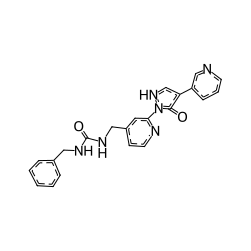 O=C(NCc1ccccc1)NCc1ccnc(-n2[nH]cc(-c3cccnc3)c2=O)c1